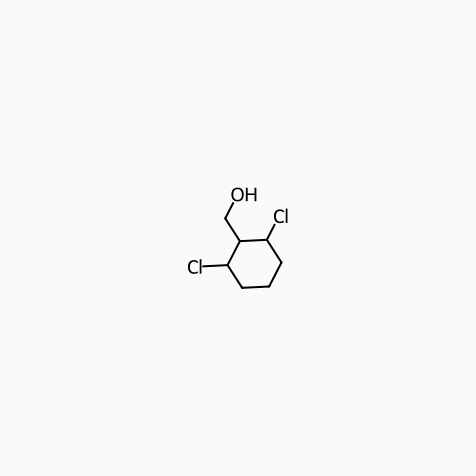 OCC1C(Cl)CCCC1Cl